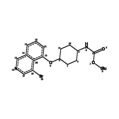 CC(C)(C)OC(=O)NC1CCC(Oc2cccc3cncc(Br)c23)CC1